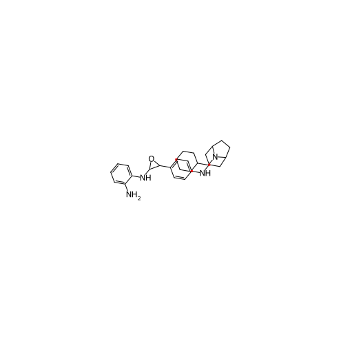 Nc1ccccc1NC1OC1c1ccc(NC2CC3CCC(C2)N3CC2CCCCC2)cc1